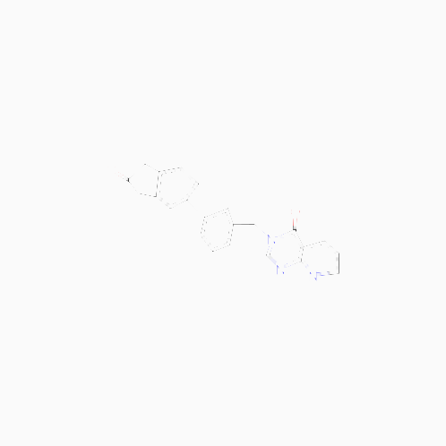 O=C1Cc2ccc(-c3cccc(Cn4cnc5ncccc5c4=O)c3)cc2C1